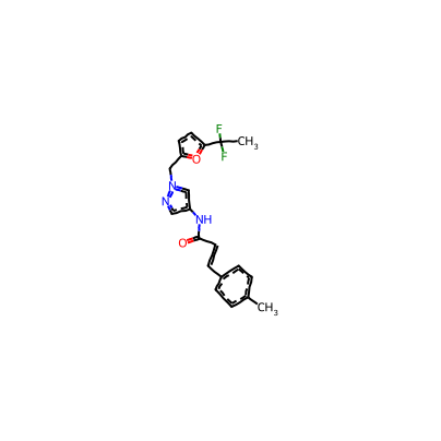 Cc1ccc(C=CC(=O)Nc2cnn(Cc3ccc(C(C)(F)F)o3)c2)cc1